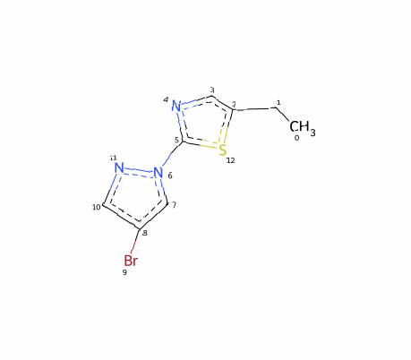 CCc1cnc(-n2cc(Br)cn2)s1